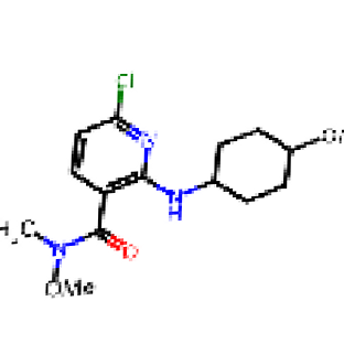 COC1CCC(Nc2nc(Cl)ccc2C(=O)N(C)OC)CC1